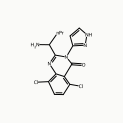 CCCC(N)c1nc2c(Cl)ccc(Cl)c2c(=O)n1-c1cc[nH]n1